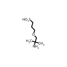 CC(C)(N)COCCCS(=O)(=O)O